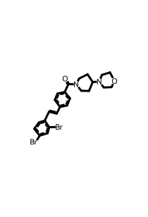 O=C(c1ccc(/C=C/c2ccc(Br)cc2Br)cc1)N1CCC(N2CCOCC2)CC1